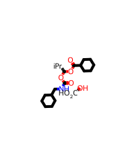 CC(C)C(OC(=O)NCC1CCCCC1)OC(=O)C1CCCCC1.O=C(O)O